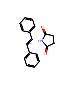 C(=C\c1ccccc1)/c1ccccc1.O=C1CCC(=O)N1